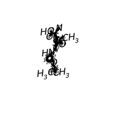 CCn1c(=C=C(C#N)C(=O)O)sc(=C=CNc2cccc(OCCN(C)C)c2)c1=O